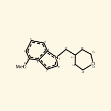 COc1cccc2c1[c]cn2CC1CCOCC1